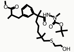 COC(=O)C(C)Cc1cccc(C(C)(CCCC(C)(C)CSCCO)C(=O)NN(C)C(=O)OC(C)(C)C)c1